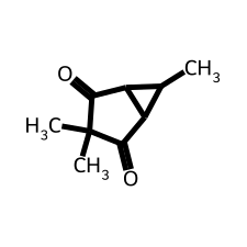 CC1C2C(=O)C(C)(C)C(=O)C12